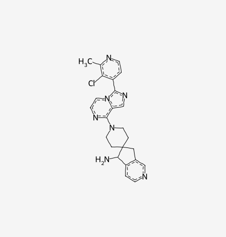 Cc1nccc(-c2ncc3c(N4CCC5(CC4)Cc4cnccc4C5N)nccn23)c1Cl